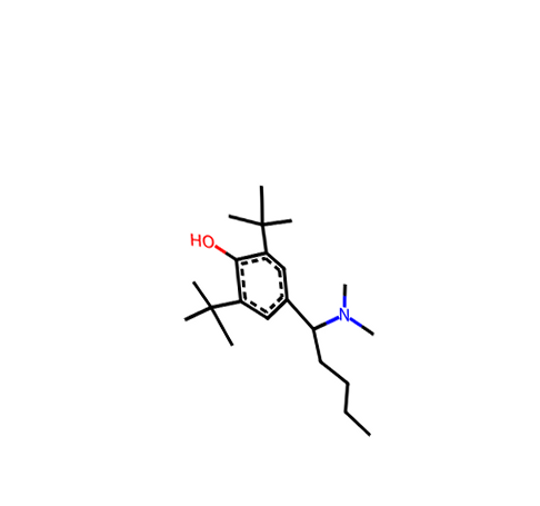 CCCCC(c1cc(C(C)(C)C)c(O)c(C(C)(C)C)c1)N(C)C